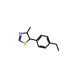 CCc1ccc(C2SC=NC2C)cc1